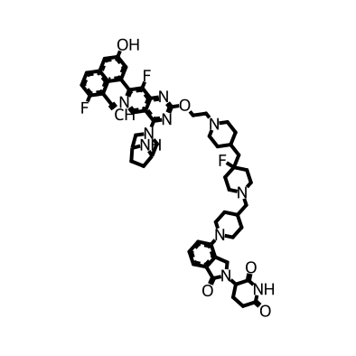 C#Cc1c(F)ccc2cc(O)cc(-c3ncc4c(N5CC6CCC(C5)N6)nc(OCCN5CCC(CC6(F)CCN(CC7CCN(c8cccc9c8CN(C8CCC(=O)NC8=O)C9=O)CC7)CC6)CC5)nc4c3F)c12